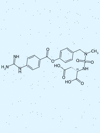 CN(Cc1ccc(OC(=O)c2ccc(NC(=N)N)cc2)cc1)S(=O)(=O)N[C@@H](CC(=O)O)C(=O)O